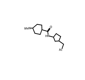 CNC1CCC(C(=O)NC2CCC(CC(C)=O)C2)CC1